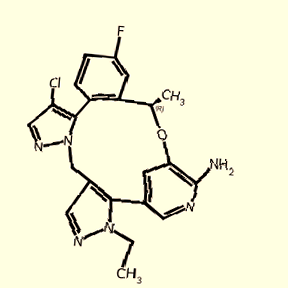 CCn1ncc2c1-c1cnc(N)c(c1)O[C@H](C)c1cc(F)ccc1-c1c(Cl)cnn1C2